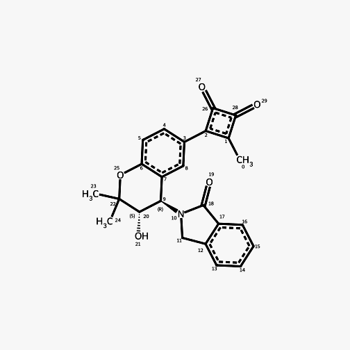 Cc1c(-c2ccc3c(c2)[C@@H](N2Cc4ccccc4C2=O)[C@H](O)C(C)(C)O3)c(=O)c1=O